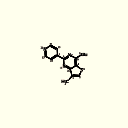 Cc1csc2c(C(C)(C)C)nc(-c3ccncc3)nc12